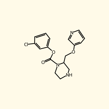 O=C(Oc1cccc(Cl)c1)N1CCNCC1COc1cccnc1